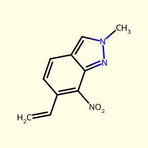 C=Cc1ccc2cn(C)nc2c1[N+](=O)[O-]